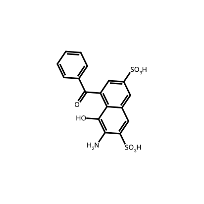 Nc1c(S(=O)(=O)O)cc2cc(S(=O)(=O)O)cc(C(=O)c3ccccc3)c2c1O